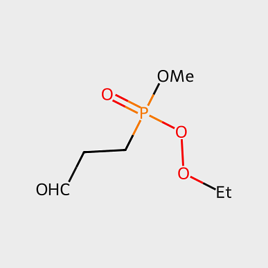 CCOOP(=O)(CCC=O)OC